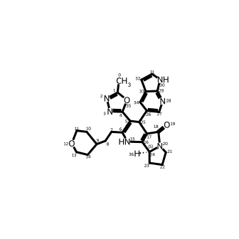 Cc1nnc(C2=C(CCC3CCOCC3)NC3=C(C(=O)N4CCC[C@@H]34)C2c2cnc3[nH]ccc3c2)o1